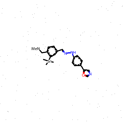 CNCc1ccc(/C=N/Nc2ccc(-c3cnco3)cc2)c[c]1[Sn]([CH3])([CH3])[CH3]